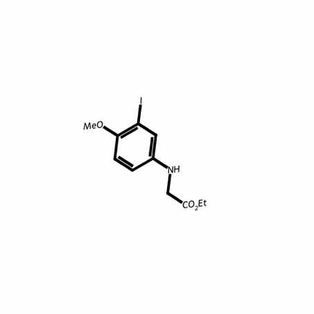 CCOC(=O)CNc1ccc(OC)c(I)c1